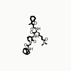 Cc1c(C(=O)N[C@@H](CC/C=C/C(=O)N(C)C)C(=O)Nc2cccn(CC(=O)NC3C4CC5CC(C4)C3C5)c2=O)oc2ccccc12